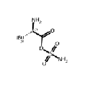 CC[C@@H](C)[C@@H](N)C(=O)OS(N)(=O)=O